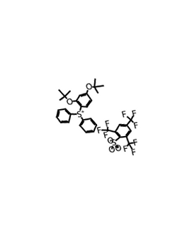 CC(C)(C)Oc1ccc([S+](c2ccccc2)c2ccccc2)c(OC(C)(C)C)c1.O=S(=O)([O-])c1c(C(F)(F)F)cc(C(F)(F)F)cc1C(F)(F)F